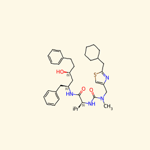 CC(C)[C@H](NC(=O)N(C)Cc1csc(CC2CCCCC2)n1)C(=O)N[C@@H](Cc1ccccc1)C[C@@H](O)CCc1ccccc1